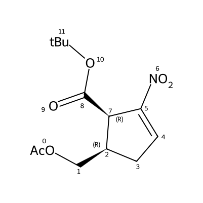 CC(=O)OC[C@@H]1CC=C([N+](=O)[O-])[C@@H]1C(=O)OC(C)(C)C